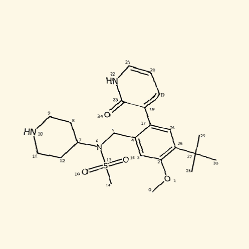 COc1cc(CN(C2CCNCC2)S(C)(=O)=O)c(-c2ccc[nH]c2=O)cc1C(C)(C)C